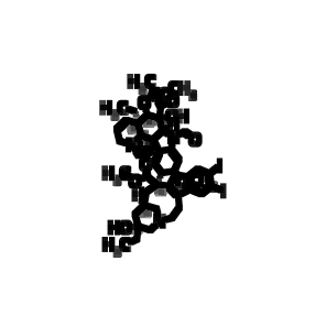 CC[C@]1(O)C[C@H]2CN(CCC3=C(Cc4cc(I)c(I)cc43)[C@@](C(=O)OC)(C3C=C4C(=CC3OC)N(C=O)[C@H]3[C@@](O)(C(=O)OC)[C@H](OC(C)=O)[C@]5(CC)C=CCN6CC[C@]43[C@@H]65)C2)C1